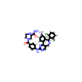 NC(=O)C1CN(C(=O)c2ccc(Nc3ncc4c(n3)-c3ccc(I)cc3C(c3c(F)cccc3F)=NC4)cc2)CCN1